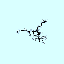 CCOC(=O)N=c1sn(C(C)(C)C)cc1CCCC#N